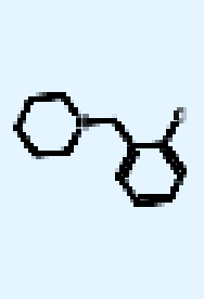 Clc1ccccc1CN1CCCCC1